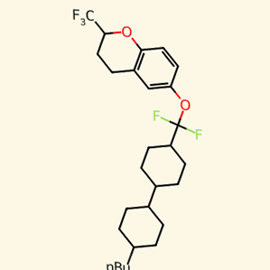 CCCCC1CCC(C2CCC(C(F)(F)Oc3ccc4c(c3)CCC(C(F)(F)F)O4)CC2)CC1